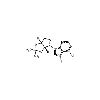 CC1(C)O[C@H]2[C@H](n3cc(I)c4c(Cl)ncnc43)SC[C@H]2O1